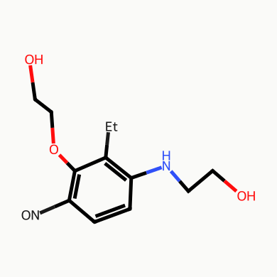 CCc1c(NCCO)ccc(N=O)c1OCCO